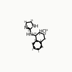 Cl.c1ccc2c(c1)CCCC2NC1=NCCN1